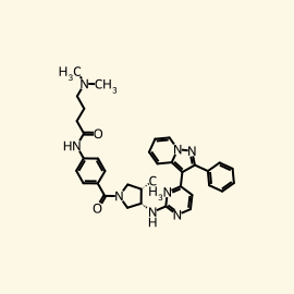 C[C@H]1CN(C(=O)c2ccc(NC(=O)CCCN(C)C)cc2)C[C@H]1Nc1nccc(-c2c(-c3ccccc3)nn3ccccc23)n1